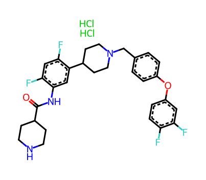 Cl.Cl.O=C(Nc1cc(C2CCN(Cc3ccc(Oc4ccc(F)c(F)c4)cc3)CC2)c(F)cc1F)C1CCNCC1